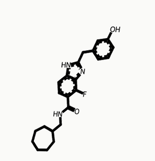 O=C(NCC1CCCCCC1)c1ccc2[nH]c(Cc3cccc(O)c3)nc2c1F